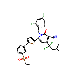 CCS(=O)(=O)c1cccc(-c2ccc(-c3cc(C(F)(F)CC(C)C)c(C#N)c(=O)n3Cc3ccc(F)cc3F)s2)c1